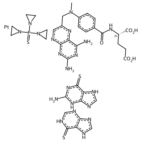 CN(Cc1cnc2nc(N)nc(N)c2n1)c1ccc(C(=O)N[C@@H](CCC(=O)O)C(=O)O)cc1.Nc1nc(=S)c2[nH]cnc2[nH]1.S=P(N1CC1)(N1CC1)N1CC1.S=c1[nH]cnc2nc[nH]c12.[Pt]